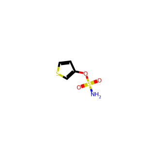 NS(=O)(=O)Oc1ccsc1